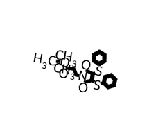 CC(C)(C)OC(=O)CCN1C(=O)C(Sc2ccccc2)=C(Sc2ccccc2)C1=O